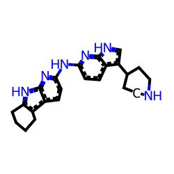 c1cc2c(C3CCNCC3)c[nH]c2nc1Nc1ccc2c3c([nH]c2n1)CCCC3